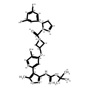 Cc1onc(NC(=O)OC(C)(C)C)c1-c1cc(OC2CN(C(=O)N3N=CC[C@H]3c3cc(F)cc(F)c3)C2)c(F)cn1